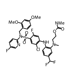 CNC(=O)OCCN(C)c1cc(C(F)F)ccc1Nc1cc(F)c(S(=O)(=O)N(Cc2ccc(OC)cc2OC)c2ccc(F)cn2)cc1Cl